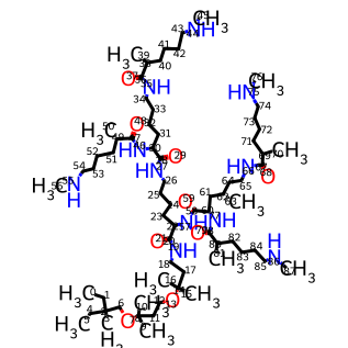 CCC(C)(CC)COC(C)(C)CCOC(C)(C)CCNC(=O)C(CCCCNC(=O)C(CCCCNC(=O)C(C)CCCCNC)NC(=O)C(C)CCCCNC)NC(=O)C(C[C@@H](C)CCNC(=O)C(C)CCCCNC)NC(=O)C(C)CCCCNC